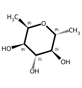 C[C@H]1O[C@H](C)[C@@H](O)[C@H](O)[C@H]1O